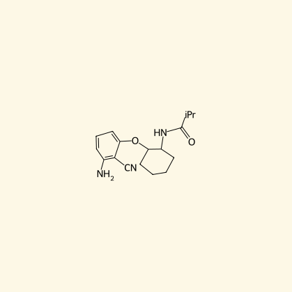 CC(C)C(=O)NC1CCCCC1Oc1cccc(N)c1C#N